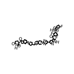 O=C1CCC(N2Cc3cc(N4CCC(CN5CCC6(CCN(c7ncc(-c8cnc9[nH]cc(C(=O)c%10c(F)ccc(NS(=O)(=O)N%11CC[C@@H](F)C%11)c%10F)c9c8)cn7)CC6)C5)CC4)ccc3C2=O)C(=O)N1